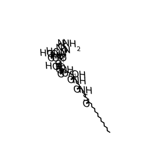 CCCCCCCCCCCCCC(=O)CSCCNC(=O)CCNC(=O)[C@@H](O)C(C)(C)COP(=O)(O)OP(=O)(O)OC[C@H]1O[C@@H](n2cnc3c(N)ncnc32)[C@H](O)[C@@H]1OP(=O)(O)O